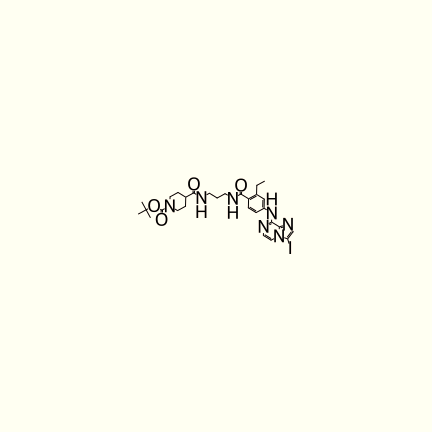 CCc1cc(Nc2nccn3c(I)cnc23)ccc1C(=O)NCCCNC(=O)C1CCN(C(=O)OC(C)(C)C)CC1